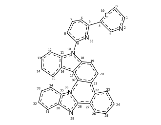 c1cncc(-c2cccc(-n3c4ccccc4c4c3ccc3c5ccccc5c5nc6ccccc6n5c34)n2)c1